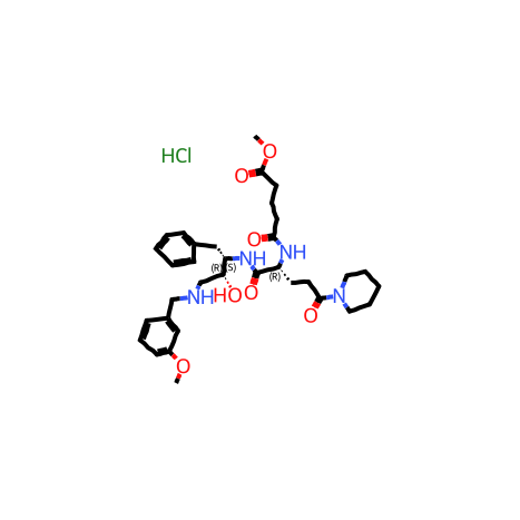 COC(=O)CCCC(=O)N[C@H](CCC(=O)N1CCCCC1)C(=O)N[C@@H](Cc1ccccc1)[C@H](O)CNCc1cccc(OC)c1.Cl